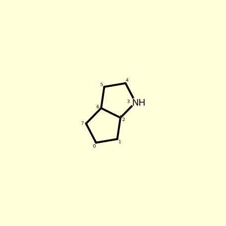 C1C[C]2NCCC2C1